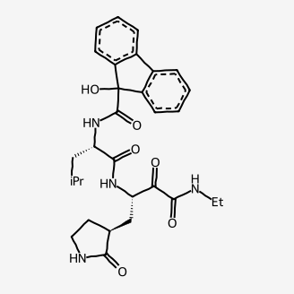 CCNC(=O)C(=O)[C@H](C[C@@H]1CCNC1=O)NC(=O)[C@H](CC(C)C)NC(=O)C1(O)c2ccccc2-c2ccccc21